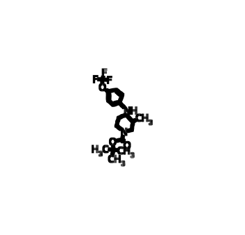 CC1CN(C(=O)OC(C)(C)C)CCC1Nc1ccc(OC(F)(F)F)cc1